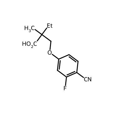 CCC(C)(COc1ccc(C#N)c(F)c1)C(=O)O